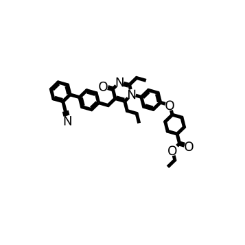 CCCc1c(Cc2ccc(-c3ccccc3C#N)cc2)c(=O)nc(CC)n1-c1ccc(OC2CCC(C(=O)OCC)CC2)cc1